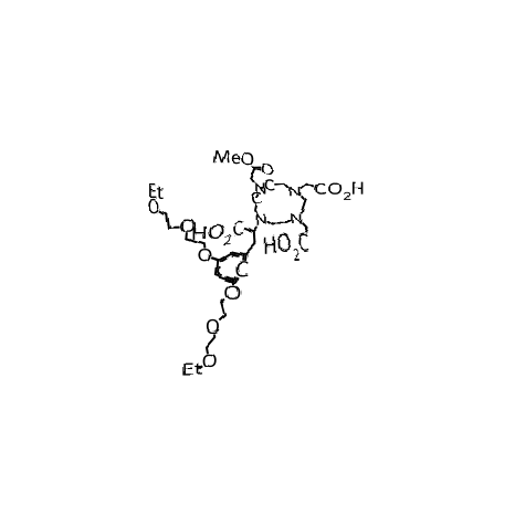 CCOCCOCCOc1cc(CC(C(=O)O)N2CCN(CC(=O)O)CCN(CC(=O)O)CCN(CC(=O)OC)CC2)cc(OCCOCCOCC)c1